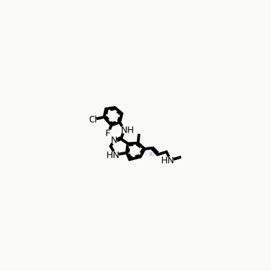 CNC/C=C/c1ccc2c(c1C)C(Nc1cccc(Cl)c1F)=NCN2